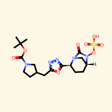 CC(C)(C)OC(=O)N1CCC(Cc2nnc([C@@H]3CC[C@@H]4CN3C(=O)N4OS(=O)(=O)O)o2)C1